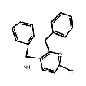 Clc1ccc(Cc2ccccc2)c(Cc2ccccc2)n1.N